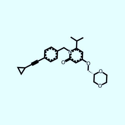 CC(C)c1cc(OC[C@H]2COCCO2)cc(=O)n1Cc1ccc(C#CC2CC2)cc1